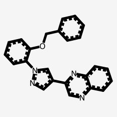 c1ccc(COc2ccccc2-n2cc(-c3cnc4ccccc4n3)cn2)cc1